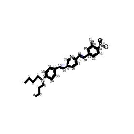 CCCCN(CCCC)c1ccc(/C=C/c2ccc(/C=C/c3ccc([N+](=O)[O-])c(F)c3)nc2)cc1